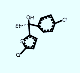 [CH2]C[C@](O)(c1ccc(Cl)cc1)c1ccc(Cl)s1